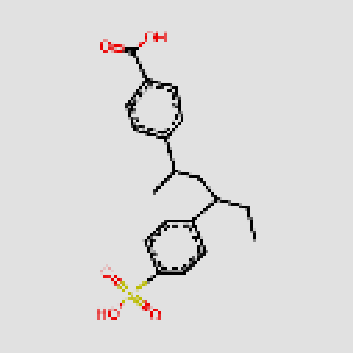 CCC(CC(C)c1ccc(C(=O)O)cc1)c1ccc(S(=O)(=O)O)cc1